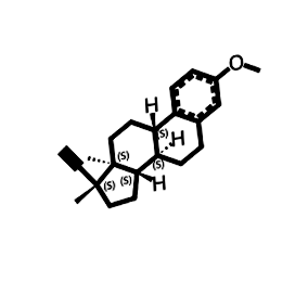 C#C[C@@]1(C)CC[C@H]2[C@@H]3CCc4cc(OC)ccc4[C@H]3CC[C@@]21C